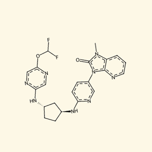 Cn1c(=O)n(-c2ccc(N[C@H]3CC[C@H](Nc4cnc(OC(F)F)cn4)C3)nc2)c2ncccc21